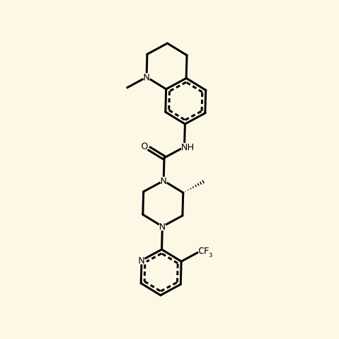 C[C@@H]1CN(c2ncccc2C(F)(F)F)CCN1C(=O)Nc1ccc2c(c1)N(C)CCC2